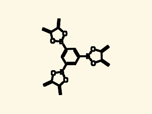 C=C1OB(c2cc(B3OC(=C)C(=C)O3)cc(B3OC(=C)C(=C)O3)c2)OC1=C